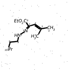 CCOC(=O)/C(C=C(C)C)=N\NCCC(C)C